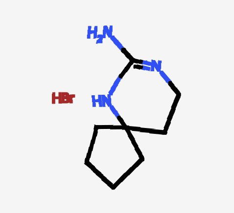 Br.NC1=NCCC2(CCCC2)N1